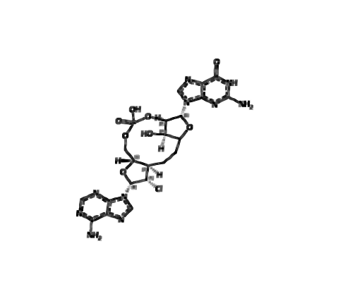 Nc1nc2c(ncn2[C@@H]2OC3CC[C@H]4[C@H](Cl)[C@H](n5cnc6c(N)ncnc65)O[C@@H]4COP(=O)(O)O[C@@H]2[C@@H]3O)c(=O)[nH]1